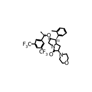 Cc1ccccc1[C@H]1C2CC(N3CCOCC3)C(=O)N2C[C@@H]1O[C@H](C)c1cc(C(F)(F)F)cc(C(F)(F)F)c1